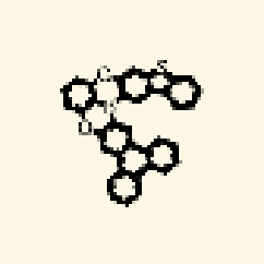 c1cc2c3c(c1)Oc1cc4c5ccccc5c5ccccc5c4cc1B3c1cc3c(cc1O2)sc1ccccc13